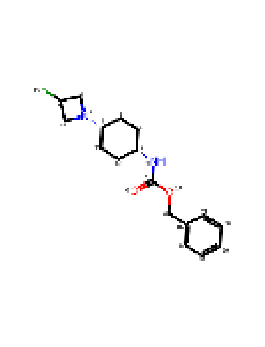 O=C(N[C@H]1CC[C@@H](N2CC(F)C2)CC1)OCc1ccccc1